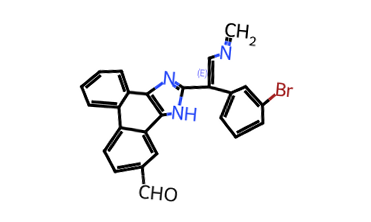 C=N/C=C(\c1cccc(Br)c1)c1nc2c3ccccc3c3ccc(C=O)cc3c2[nH]1